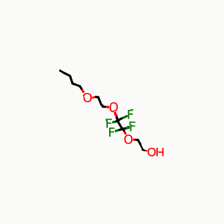 CCCCOCCOC(F)(F)C(F)(F)OCCO